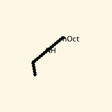 C=CCCCCCCC/C=C\CCCCCCCCCCCCNCCCCCCCCCCCC/C=C\CCCCCCCC